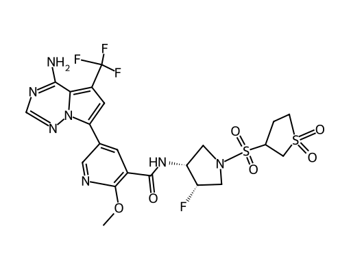 COc1ncc(-c2cc(C(F)(F)F)c3c(N)ncnn23)cc1C(=O)N[C@@H]1CN(S(=O)(=O)C2CCS(=O)(=O)C2)C[C@@H]1F